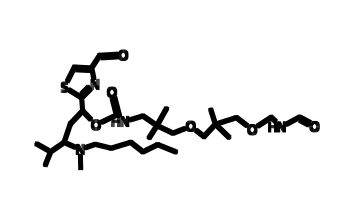 CCCCCCN(C)C(CC(OC(=O)NCC(C)(C)COCC(C)(C)COCNC=O)c1nc(C=O)cs1)C(C)C